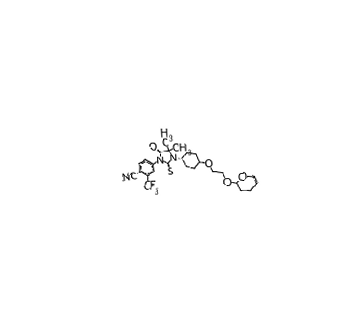 CC1(C)C(=O)N(c2ccc(C#N)c(C(F)(F)F)c2)C(=S)N1[C@H]1CC[C@H](OCCOC2CCCCO2)CC1